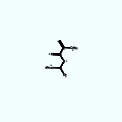 C=C(OC)C(=O)OC(CC)CCCCC